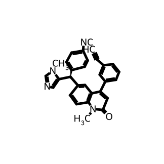 [C-]#[N+]c1ccc([C@@H](c2ccc3c(c2)c(-c2cccc(C#C)c2)cc(=O)n3C)c2cncn2C)cc1